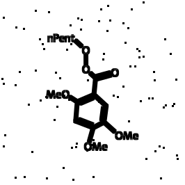 [CH2]CCCCOOC(=O)c1cc(OC)c(OC)cc1OC